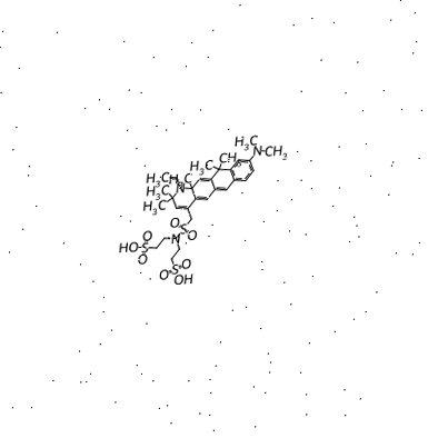 CCN1C(C)(C)C=C(CS(=O)(=O)N(CCS(=O)(=O)O)CCS(=O)(=O)O)C2=CC3=Cc4ccc(N(C)C)cc4C(C)(C)C3=CC21C